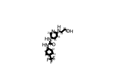 O=C(Nc1ccc(C(F)(F)F)cc1)Nc1ccc(NCCO)nc1